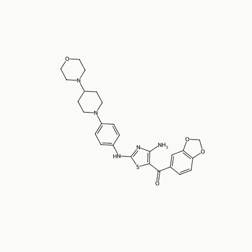 Nc1nc(Nc2ccc(N3CCC(N4CCOCC4)CC3)cc2)sc1C(=O)c1ccc2c(c1)OCO2